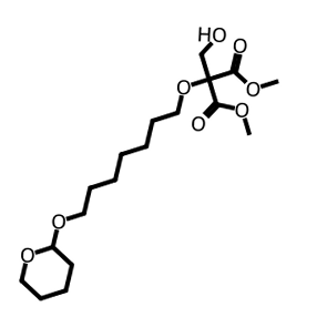 COC(=O)C(CO)(OCCCCCCCOC1CCCCO1)C(=O)OC